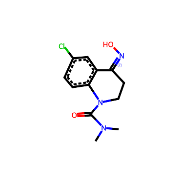 CN(C)C(=O)N1CC/C(=N/O)c2cc(Cl)ccc21